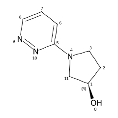 O[C@@H]1CCN(c2cccnn2)C1